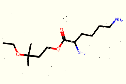 CCOC(C)(C)CCOC(=O)C(N)CCCCN